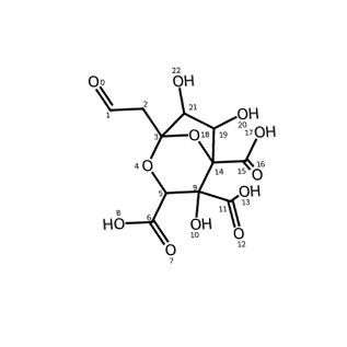 O=CCC12OC(C(=O)O)C(O)(C(=O)O)C(C(=O)O)(O1)C(O)C2O